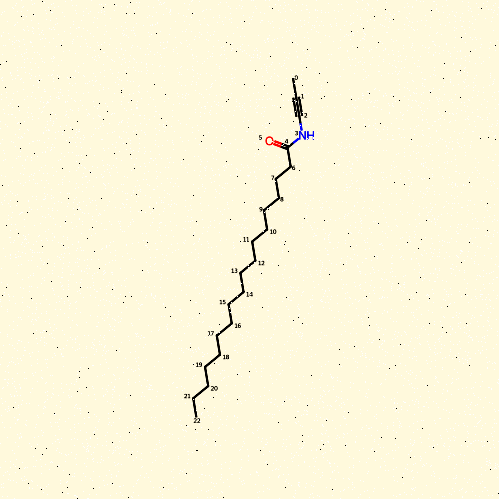 CC#CNC(=O)CCCCCCCCCCCCCCCCC